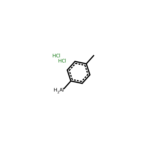 Cc1cc[c]([AlH2])cc1.Cl.Cl